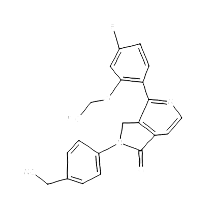 N#CCc1ccc(N2Cc3c(ccnc3-c3ccc(F)cc3OCC(F)(F)F)C2=O)cc1